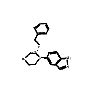 c1ccc(CC[C@H]2CNCCN2c2ccc3[nH]ncc3c2)cc1